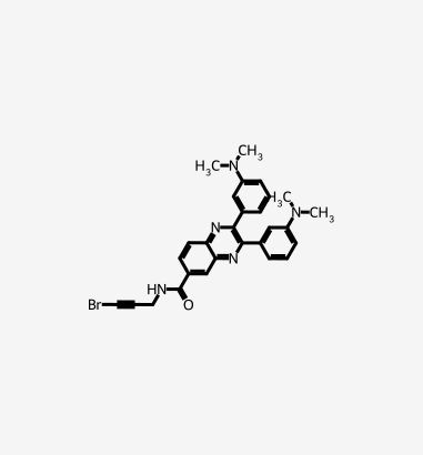 CN(C)c1cccc(-c2nc3ccc(C(=O)NCC#CBr)cc3nc2-c2cccc(N(C)C)c2)c1